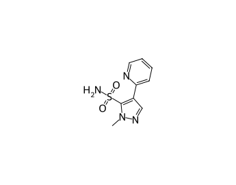 Cn1ncc(-c2ccccn2)c1S(N)(=O)=O